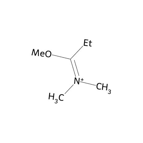 CCC(OC)=[N+](C)C